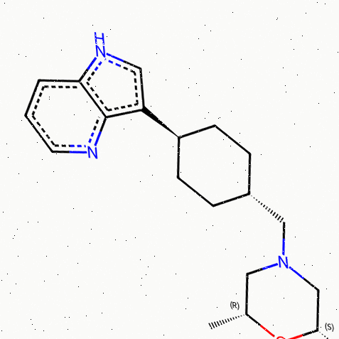 C[C@@H]1CN(C[C@H]2CC[C@H](c3c[nH]c4cccnc43)CC2)C[C@H](C)O1